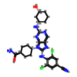 N#Cc1cc(Cl)c(Nc2nc3cnc(N[C@H]4CCC[C@@H](O)C4)nc3n2[C@H]2CC[C@H](C(N)=O)CC2)c(Cl)c1